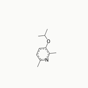 Cc1ccc(OC(C)C)c(C)n1